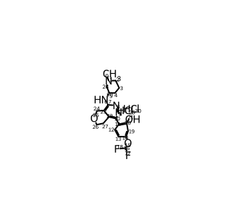 CN1CCC[C@@H](Nc2nnc(-c3ccc(OC(F)F)cc3O)c3c2COCC3)C1.Cl.Cl